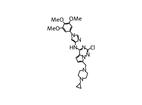 COc1cc(-n2cnc(Nc3nc(Cl)nn4c(CN5CCN(C6CC6)CC5)ccc34)c2)cc(OC)c1OC